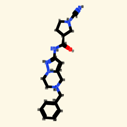 N#CN1CC[C@H](C(=O)Nc2cc3n(n2)CCN(Cc2ccccc2)C3)C1